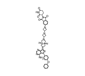 Nc1ncnc2c1c(-c1ccc(Oc3ccccc3)cc1)nn2[C@H]1C[C@@H]2CN(C3CN(C4CN(c5ccc6c(c5)C(=O)N(C5CCC(=O)NC5=O)C6=O)C4)C3)C[C@@H]2C1